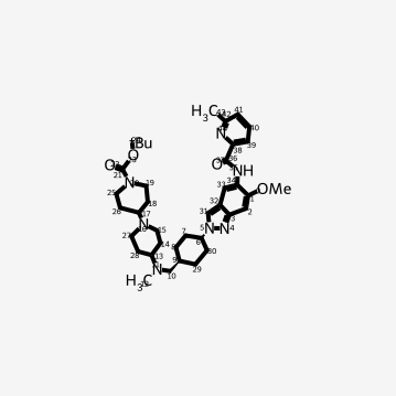 COc1cc2nn([C@H]3CC[C@H](CN(C)C4CCN(C5CCN(C(=O)OC(C)(C)C)CC5)CC4)CC3)cc2cc1NC(=O)c1cccc(C)n1